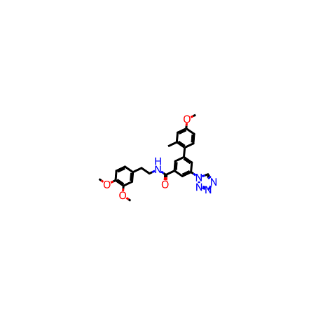 COc1ccc(-c2cc(C(=O)NCCc3ccc(OC)c(OC)c3)cc(-n3cnnn3)c2)c(C)c1